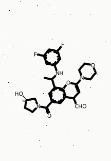 CC(Nc1cc(F)cc(F)c1)c1cc(C(=O)N2CC[C@H](O)C2)cc2c1OC(N1CCOCC1)=CC2C=O